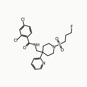 O=C(NCC1(c2ccccn2)CCN(S(=O)(=O)CCCF)CC1)c1ccc(Cl)cc1Cl